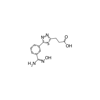 N/C(=N/O)c1cccc(-c2nnc(CCC(=O)O)s2)c1